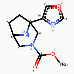 CC(C)(C)OC(=O)N1CC2CCC(c3cocn3)(C1)N2